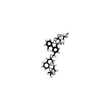 CSCC[C@H](NC(=O)c1ccc(COC(COCC2COC(C)(C)O2)CC2CCCCC2)cc1-c1ccccc1C)C(=O)O